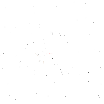 CC(C)CCCCCC(O)(CCCCCC(C)C)C(=S)S